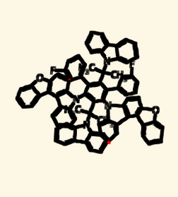 CC(C)(c1c(-c2cccc(F)c2)c(-n2c3ccccc3c3c4c(ccc32)oc2ccccc24)c(C(C)(C)n2c3ccccc3c3ccccc32)c(-n2c3ccccc3c3c4c(ccc32)oc2ccccc24)c1-c1cccc(F)c1)n1c2ccccc2c2ccccc21